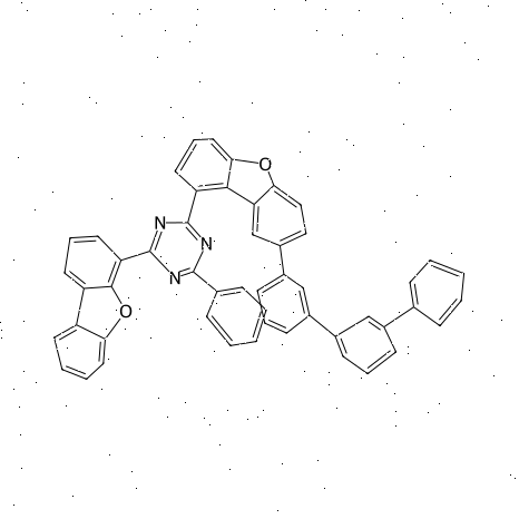 c1ccc(-c2cccc(-c3cccc(-c4ccc5oc6cccc(-c7nc(-c8ccccc8)nc(-c8cccc9c8oc8ccccc89)n7)c6c5c4)c3)c2)cc1